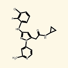 Cc1cc(-n2nc(Nc3cccc(Cl)c3F)cc2CC(=O)NC2CC2)ccn1